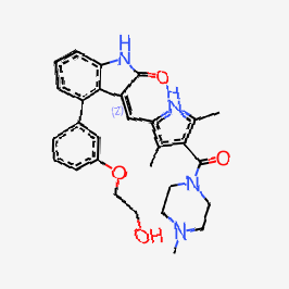 Cc1[nH]c(/C=C2\C(=O)Nc3cccc(-c4cccc(OCCO)c4)c32)c(C)c1C(=O)N1CCN(C)CC1